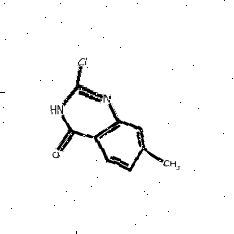 Cc1ccc2c(=O)[nH]c(Cl)nc2c1